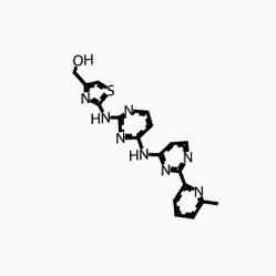 Cc1cccc(-c2nccc(Nc3ccnc(Nc4nc(CO)cs4)n3)n2)n1